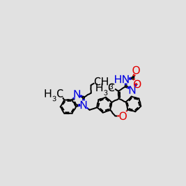 CCCc1nc2c(C)cccc2n1Cc1ccc2c(c1)COc1ccccc1C2=C(C)c1noc(=O)[nH]1